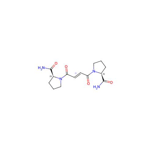 NC(=O)[C@@H]1CCCN1C(=O)/C=C/C(=O)N1CCC[C@H]1C(N)=O